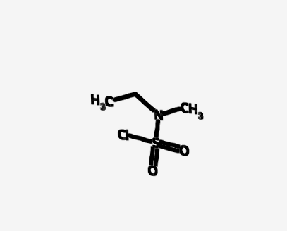 CCN(C)S(=O)(=O)Cl